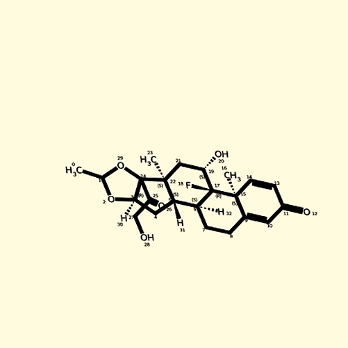 CC1O[C@@H]2C[C@H]3[C@@H]4CCC5=CC(=O)C=C[C@]5(C)[C@@]4(F)[C@@H](O)C[C@]3(C)C2(C(=O)CO)O1